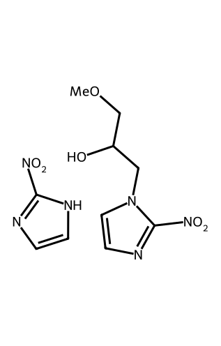 COCC(O)Cn1ccnc1[N+](=O)[O-].O=[N+]([O-])c1ncc[nH]1